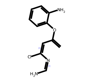 C=C(/C=C(Cl)\N=C/N)Oc1ccccc1N